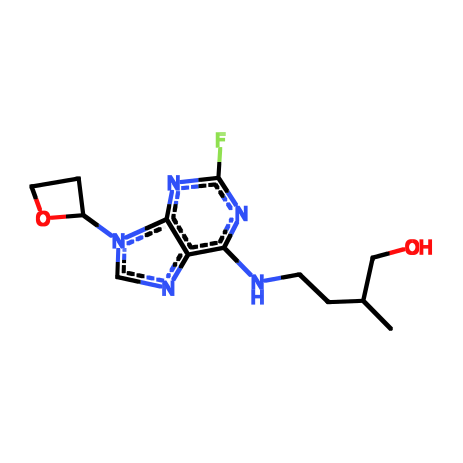 CC(CO)CCNc1nc(F)nc2c1ncn2C1CCO1